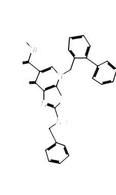 CNC(=O)c1cn(Cc2ccccc2-c2ccccc2)c2sc(NCc3ccccc3)nc2c1=O